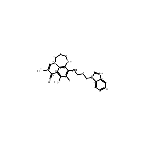 Nc1c(F)c(NCCCn2cnc3ccccc32)c2c3c1c(=O)c(C=O)cn3CCCO2